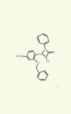 COc1ccc([C@@H]2[C@H](O)C(=O)N2c2ccccc2)c(OCc2ccccc2)c1